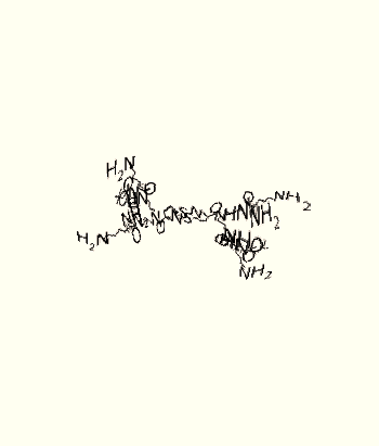 CC(C)(C)OC(=O)N[C@@H](CCCCN)C(=O)NCCCN(CCCNC(=O)[C@@H](N)CCCCN)C(=O)c1ccc(SSc2ccc(C(=O)N(CCCNC(=O)[C@H](CCCCN)NC(=O)OC(C)(C)C)CCCNC(=O)[C@@H](N)CCCCN)cn2)nc1